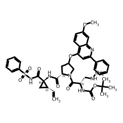 C=C[C@@H]1C[C@]1(NC(=O)[C@@H]1CC(Oc2cc(-c3ccccc3)nc3cc(OC)ccc23)CN1C(=O)[C@H](CNC)NC(=O)OC(C)(C)C)C(=O)NS(=O)(=O)c1ccccc1